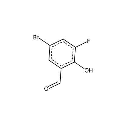 O=Cc1cc(Br)cc(F)c1O